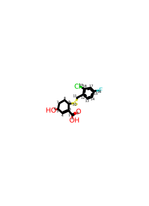 O=C(O)C1=CC(O)CCC1SCc1ccc(F)cc1Cl